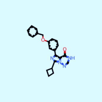 O=c1[nH]cnn2c(C3CCC3)nc(-c3cccc(OCc4ccccc4)c3)c12